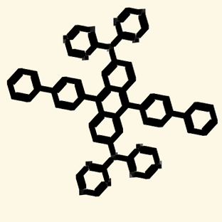 c1ccc(-c2ccc(-c3c4ccc(N(c5ncncn5)c5ncncn5)cc4c(-c4ccc(-c5ccccc5)cc4)c4ccc(N(c5ncncn5)c5ncncn5)cc34)cc2)cc1